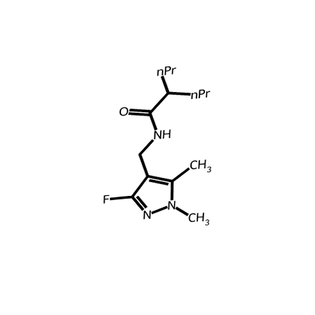 CCCC(CCC)C(=O)NCc1c(F)nn(C)c1C